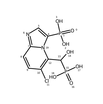 O=P(O)(O)c1cnc2ccc(Cl)c(C(O)P(=O)(O)O)n12